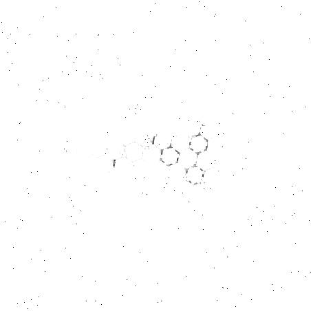 CCOC(=O)N1CCN(C(=O)c2ccc(-c3ncnc(CC)c3-c3ccc(N)nc3)cc2F)CC1